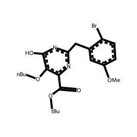 CCCCOc1c(O)nc(Cc2cc(OC)ccc2Br)nc1C(=O)OC(C)(C)C